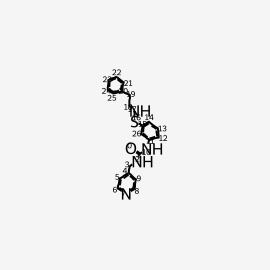 O=C(NCc1ccncc1)Nc1cccc(SNCCc2ccccc2)c1